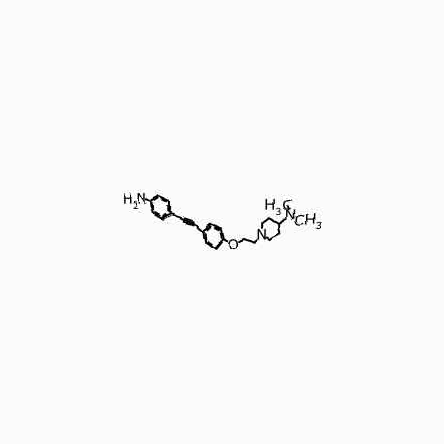 CN(C)C1CCN(CCOc2ccc(C#Cc3ccc(N)cc3)cc2)CC1